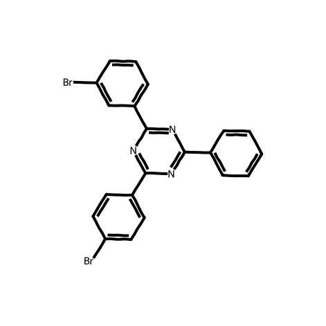 Brc1ccc(-c2nc(-c3ccccc3)nc(-c3cccc(Br)c3)n2)cc1